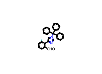 O=Cc1cccc(F)c1-c1cn(C(c2ccccc2)(c2ccccc2)c2ccccc2)cn1